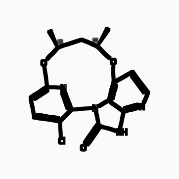 C[C@@H]1C[C@H](C)Oc2ccc(Cl)c(n2)-n2c(=O)[nH]c3nccc(c32)O1